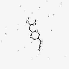 COC(CC1OCC(N=[N+]=[N-])CO1)OC